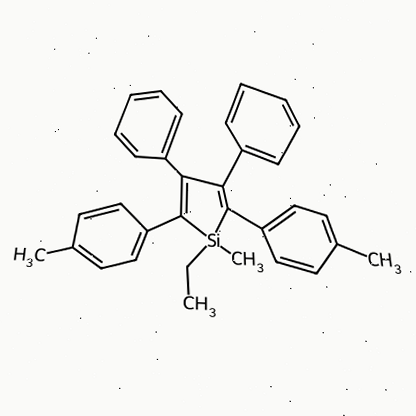 CC[Si]1(C)C(c2ccc(C)cc2)=C(c2ccccc2)C(c2ccccc2)=C1c1ccc(C)cc1